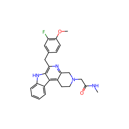 CNC(=O)CN1CCc2c(nc(Cc3ccc(OC)c(F)c3)c3[nH]c4ccccc4c23)C1